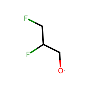 [O]CC(F)CF